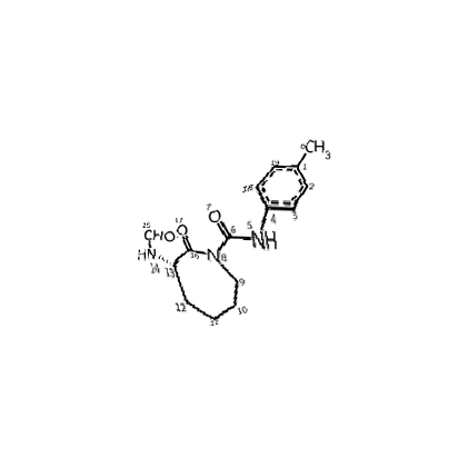 Cc1ccc(NC(=O)N2CCCC[C@H](N[C]=O)C2=O)cc1